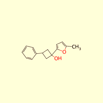 Cc1ccc(C2(O)CC(c3ccccc3)C2)o1